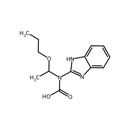 CCCOC(C)N(C(=O)O)c1nc2ccccc2[nH]1